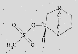 CS(=O)(=O)O[C@@H]1CN2CCC1CC2